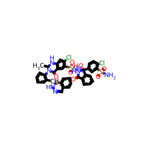 C1=NNSc2ccccc21.Cc1ccccc1N1C(=O)c2cc(S(N)(=O)=O)c(Cl)cc2NC1C.NS(=O)(=O)c1cc(C2(O)NC(=O)c3ccccc32)ccc1Cl